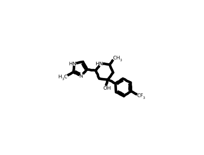 Cc1nc(C2CC(O)(c3ccc(C(F)(F)F)cc3)CC(C)N2)c[nH]1